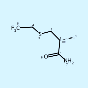 C[C@@H](CSCC(F)(F)F)C(N)=O